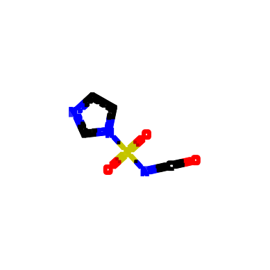 O=C=NS(=O)(=O)n1ccnc1